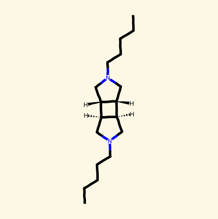 CCCCCN1C[C@H]2[C@@H]3CN(CCCCC)C[C@@H]3[C@H]2C1